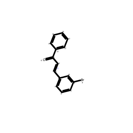 O=C(/C=C/c1cccc(Br)c1)c1ccccc1